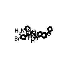 N[C@@H]1CCCN(C(=O)C(NS(=O)(=O)c2ccc3cc(OC4CCCC4)ccc3c2)C(F)(F)c2ccc(Br)cc2)C1